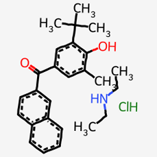 CCNCC.Cc1cc(C(=O)c2ccc3ccccc3c2)cc(C(C)(C)C)c1O.Cl